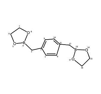 c1cc(CB2OCCO2)ccc1CB1OCCO1